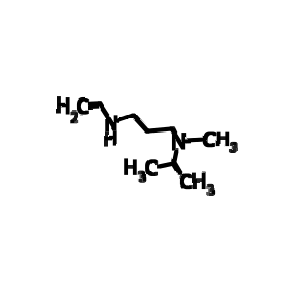 C=CNCCCN(C)C(C)C